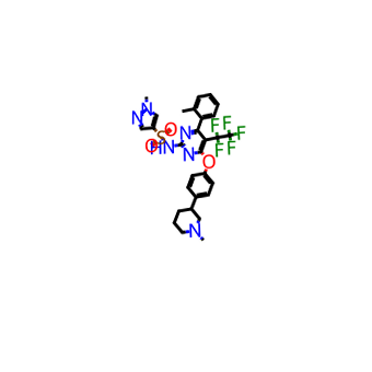 Cc1ccccc1-c1nc(NS(=O)(=O)c2cnn(C)c2)nc(Oc2ccc(C3CCCN(C)C3)cc2)c1C(F)(F)C(F)(F)F